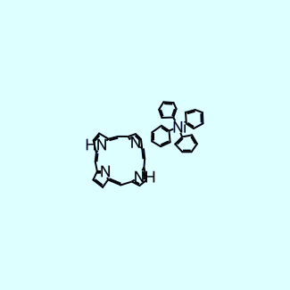 C1=Cc2cc3ccc(cc4nc(cc5ccc(cc1n2)[nH]5)C=C4)[nH]3.c1cc[c]([Ni]([c]2ccccc2)([c]2ccccc2)[c]2ccccc2)cc1